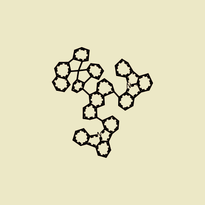 c1ccc2c(c1)-c1ccc3ccccc3c1C21c2ccccc2-c2c(-c3c4cccc(-c5cccc6c7cccc8c9ccccc9n(c56)c87)c4cc4c(-c5cccc6c7cccc8c9ccccc9n(c56)c87)cccc34)cccc21